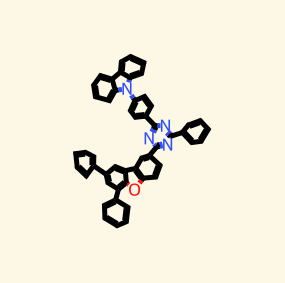 c1ccc(-c2cc(-c3ccccc3)c3oc4ccc(-c5nc(-c6ccccc6)nc(-c6ccc(-n7c8ccccc8c8ccccc87)cc6)n5)cc4c3c2)cc1